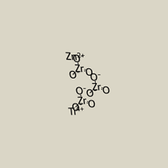 [O]=[Zr]([O-])[O-].[O]=[Zr]([O-])[O-].[O]=[Zr]([O-])[O-].[Ti+4].[Zn+2]